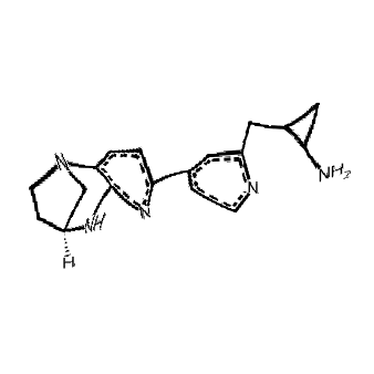 NC1CC1Cc1cc(-c2ccc3c(n2)N[C@H]2CCN3C2)ccn1